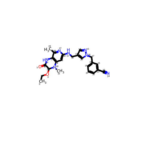 CCOC1C(=O)Nc2c(cc(NCc3cnn(Cc4cccc(C#N)c4)c3)nc2C)N1C